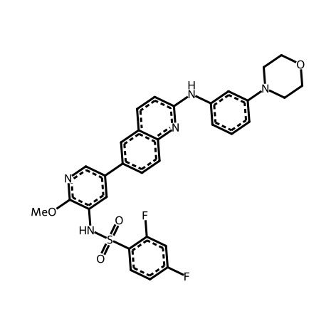 COc1ncc(-c2ccc3nc(Nc4cccc(N5CCOCC5)c4)ccc3c2)cc1NS(=O)(=O)c1ccc(F)cc1F